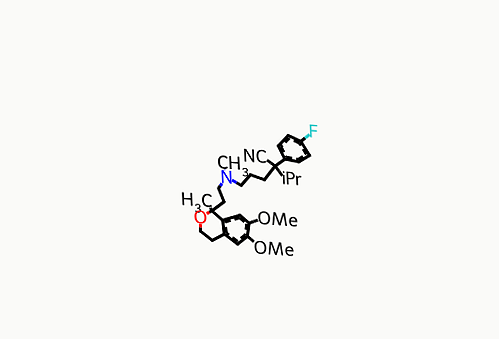 COc1cc2c(cc1OC)C(C)(CCN(C)CCCC(C#N)(c1ccc(F)cc1)C(C)C)OCC2